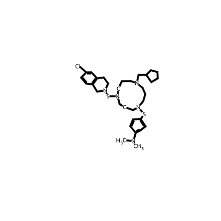 CN(C)c1ccc(SN2CCCN(CC3CCCC3)CCCN(SN3CCc4cc(Cl)ccc4C3)CCC2)cc1